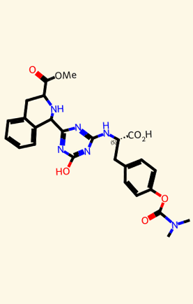 COC(=O)C1Cc2ccccc2C(c2nc(O)nc(N[C@@H](Cc3ccc(OC(=O)N(C)C)cc3)C(=O)O)n2)N1